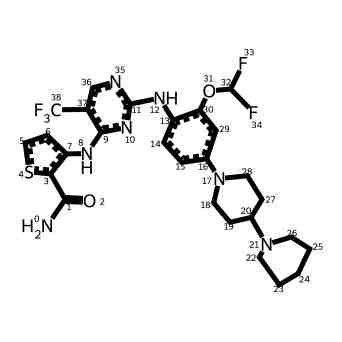 NC(=O)c1sccc1Nc1nc(Nc2ccc(N3CCC(N4CCCCC4)CC3)cc2OC(F)F)ncc1C(F)(F)F